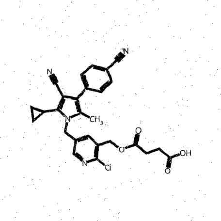 Cc1c(-c2ccc(C#N)cc2)c(C#N)c(C2CC2)n1Cc1cnc(Cl)c(COC(=O)CCC(=O)O)c1